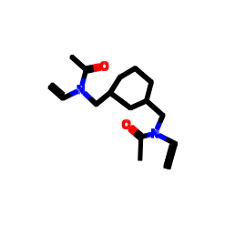 C=CN(CC1CCCC(CN(C=C)C(C)=O)C1)C(C)=O